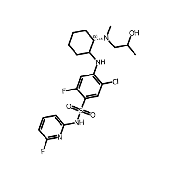 CC(O)CN(C)[C@H]1CCCCC1Nc1cc(F)c(S(=O)(=O)Nc2cccc(F)n2)cc1Cl